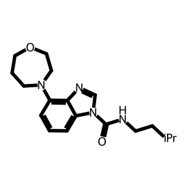 CC(C)CCNC(=O)n1cnc2c(N3CCCOCC3)cccc21